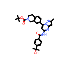 Cc1cc2nc(NC(=O)c3ccc(C(C)(C)O)cc3)cc(-c3ccc4c(c3)CN(C(=O)OC(C)(C)C)CC4)n2n1